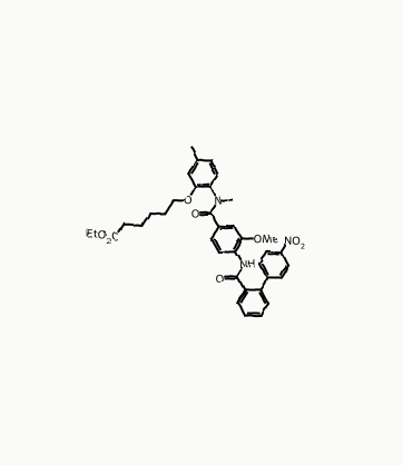 CCOC(=O)CCCCCOc1cc(C)ccc1N(C)C(=O)c1ccc(NC(=O)c2ccccc2-c2ccc([N+](=O)[O-])cc2)c(OC)c1